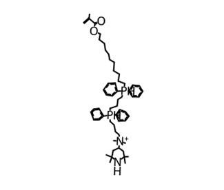 C=C(C)C(=O)OCCCCCCCCCCC[PH](CCCC[PH](CCCC[N+](C)(C)C1CC(C)(C)NC(C)(C)C1)(c1ccccc1)c1ccccc1)(c1ccccc1)c1ccccc1